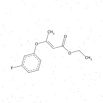 CCOC(=O)C=C(C)Oc1cccc(F)c1